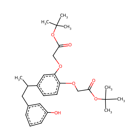 CC(Cc1cccc(O)c1)c1ccc(OCC(=O)OC(C)(C)C)c(OCC(=O)OC(C)(C)C)c1